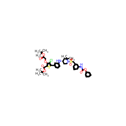 CC(C)(C)OC(=O)COc1c(C(=O)OC(C)(C)C)sc(-c2cccc(N[C@H]3CCN(S(=O)(=O)Cc4cccc(NC(=O)Oc5ccccc5)c4)C(C)(C)C3)c2)c1Cl